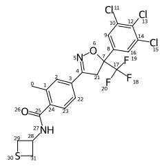 Cc1cc(C2=NOC(c3cc(Cl)c(Cl)c(Cl)c3)(C(F)(F)F)C2)ccc1C(=O)NC1CSC1